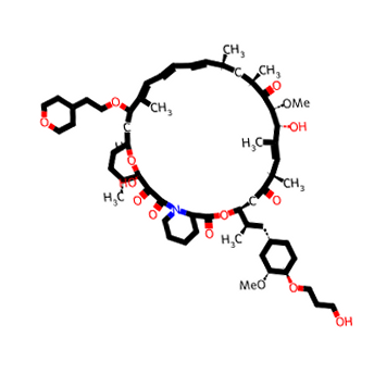 CO[C@@H]1C[C@H](C[C@@H](C)[C@@H]2CC(=O)[C@H](C)/C=C(\C)[C@@H](O)[C@@H](OC)C(=O)[C@H](C)C[C@H](C)/C=C/C=C/C=C(\C)C(OCCC3CCOCC3)C[C@@H]3CC[C@@H](C)[C@@](O)(O3)C(=O)C(=O)N3CCCCC3C(=O)O2)CC[C@H]1OCCCO